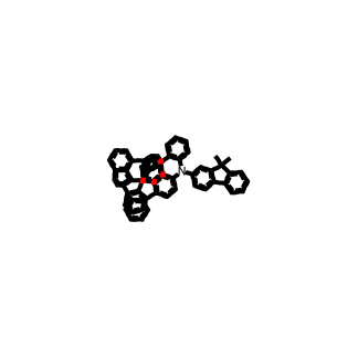 CC1(C)c2ccccc2-c2ccc(N(c3ccc4c(c3)C3(c5ccccc5-4)c4ccccc4-c4cccc5ccc(-c6ccccc6)c3c45)c3ccccc3-c3ccccc3)cc21